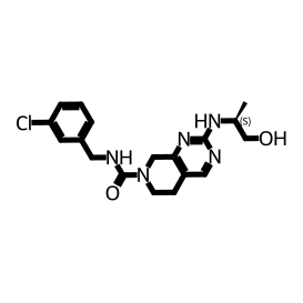 C[C@@H](CO)Nc1ncc2c(n1)CN(C(=O)NCc1cccc(Cl)c1)CC2